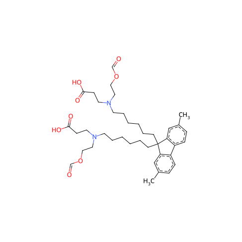 Cc1ccc2c(c1)C(CCCCCCN(CCOC=O)CCC(=O)O)(CCCCCCN(CCOC=O)CCC(=O)O)c1cc(C)ccc1-2